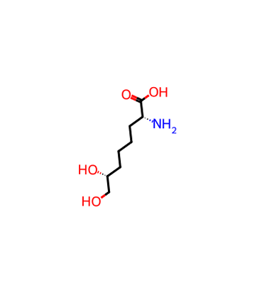 N[C@H](CCCC[C@@H](O)CO)C(=O)O